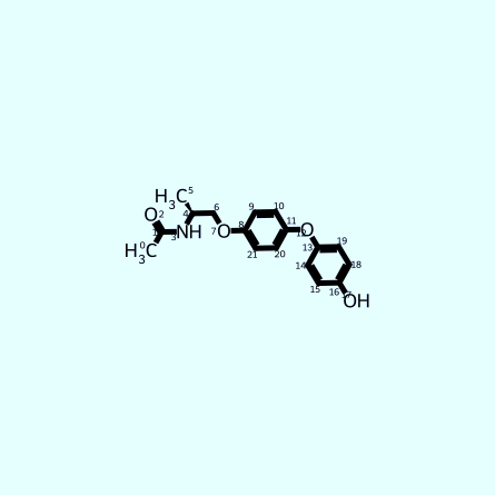 CC(=O)N[C@@H](C)COc1ccc(Oc2ccc(O)cc2)cc1